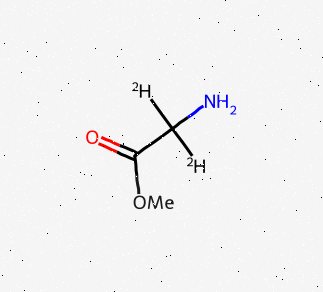 [2H]C([2H])(N)C(=O)OC